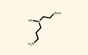 CCCCCCCN(CCC)CCCN